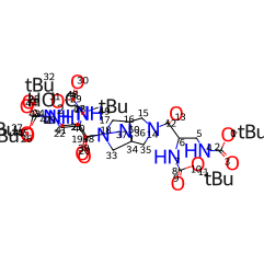 CC(C)(C)OC(=O)NCC(NC(=O)OC(C)(C)C)C(=O)N1CC23CN(C(=O)C(CNC(=O)OC(C)(C)C)NC(=O)OC(C)(C)C)CC2(C1)CN(C(=O)C(CNC(=O)OC(C)(C)C)N(C(=O)O)C(C)(C)C)C3